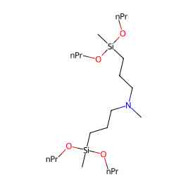 CCCO[Si](C)(CCCN(C)CCC[Si](C)(OCCC)OCCC)OCCC